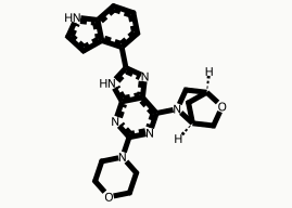 c1cc(-c2nc3c(N4C[C@@H]5C[C@H]4CO5)nc(N4CCOCC4)nc3[nH]2)c2cc[nH]c2c1